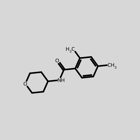 Cc1ccc(C(=O)NC2CCOCC2)c(C)c1